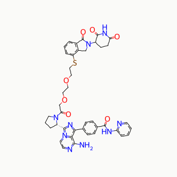 Nc1nccn2c([C@@H]3CCCN3C(=O)COCCOCCSc3cccc4c3CN(C3CCC(=O)NC3=O)C4=O)nc(-c3ccc(C(=O)Nc4ccccn4)cc3)c12